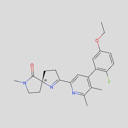 CCOc1ccc(F)c(-c2cc(C3=N[C@]4(CC3)CCN(C)C4=O)nc(C)c2C)c1